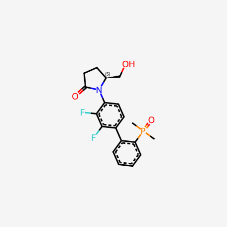 CP(C)(=O)c1ccccc1-c1ccc(N2C(=O)CC[C@H]2CO)c(F)c1F